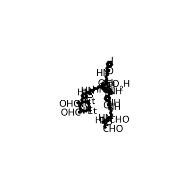 CCN1CCN(CC=O)CCN(CC=O)C(Cc2ccc(NC(=S)NCCCCC(NC(=O)CN3NNC=C3c3cccc(NC(=O)NCCCCC(C=O)NC(=O)NC(C)CCC=O)c3)C(=O)NC(CCCCNC(=O)Cc3ccc(I)cc3)C(=O)O)cc2)CN(CC)CC1